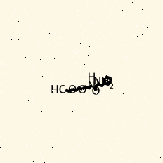 C#CCOCCOCCNC(=O)[C@@H](N)Cc1ccccc1